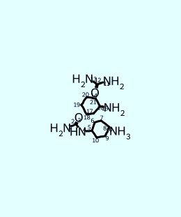 N.NC(=O)NC1CCCCC1.NC(N)=O.NC1CCCCC1